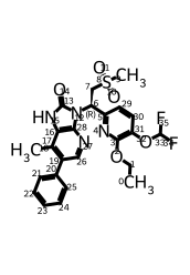 CCOc1nc([C@H](CS(C)(=O)=O)n2c(=O)[nH]c3c(C)c(-c4ccccc4)cnc32)ccc1OC(F)F